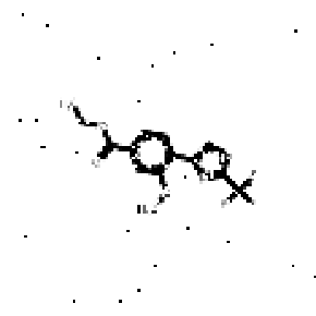 CCOC(=O)c1ccc(-c2c[nH]c(C(F)(F)F)n2)c(OC)c1